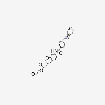 COCCOC(=O)CC1COc2cc(NC(=O)c3ccc(/C=N/N4CCOCC4)cc3)ccc2C1